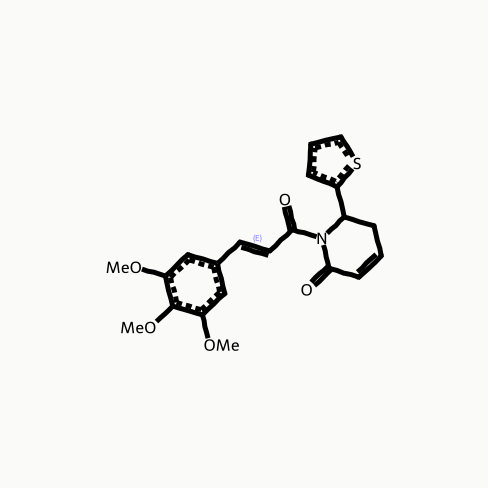 COc1cc(/C=C/C(=O)N2C(=O)C=CCC2c2cccs2)cc(OC)c1OC